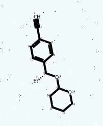 C#Cc1ccc([C@@H](CC)OC2CCCCO2)cc1